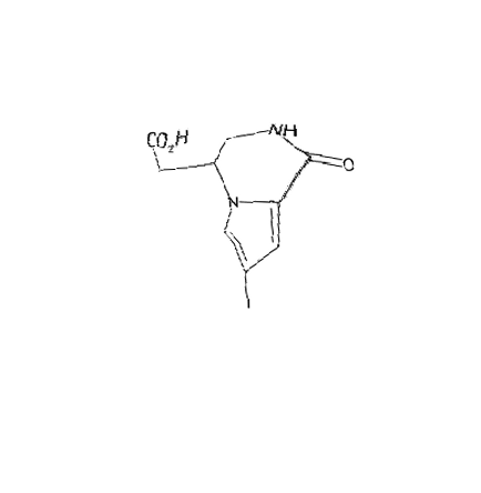 O=C(O)CC1CNC(=O)c2cc(I)cn21